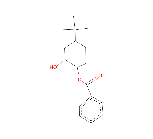 CC(C)(C)C1CCC(OC(=O)c2ccccc2)C(O)C1